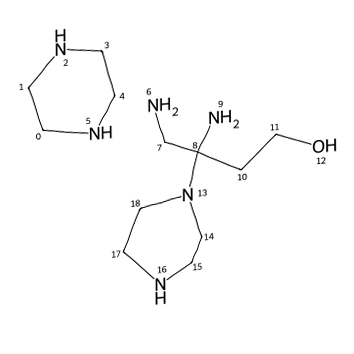 C1CNCCN1.NCC(N)(CCO)N1CCNCC1